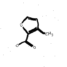 Cc1ccoc1C([O])=O